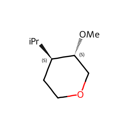 CO[C@@H]1COCC[C@H]1C(C)C